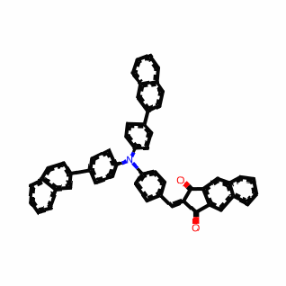 O=C1C(=Cc2ccc(N(c3ccc(-c4ccc5ccccc5c4)cc3)c3ccc(-c4ccc5ccccc5c4)cc3)cc2)C(=O)c2cc3ccccc3cc21